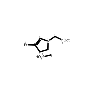 CCCCCCCCCN1C=C(CC)CC1.CS(=O)(=O)O